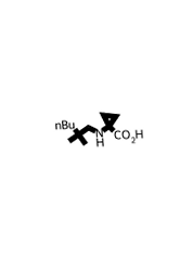 CCCCC(C)(C)CNC1(C(=O)O)CC1